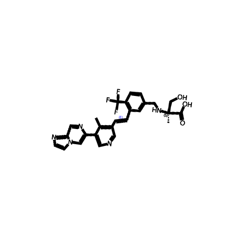 Cc1c(/C=C/c2cc(CN[C@@](C)(CO)C(=O)O)ccc2C(F)(F)F)cncc1-c1cn2ccnc2cn1